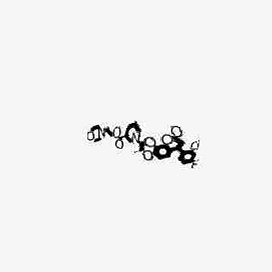 C[C@@H](Oc1ccc2c(-c3ccc(F)cc3Cl)cc(=O)oc2c1)C(=O)N1CCC[C@H](C(=O)OCCN2CCOCC2)C1